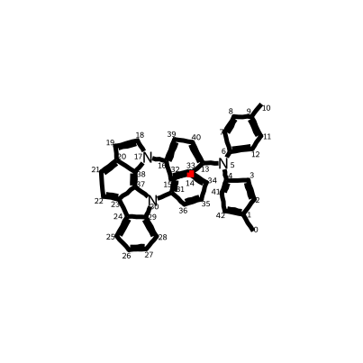 Cc1ccc(N(c2ccc(C)cc2)c2ccc(-n3ccc4ccc5c6ccccc6n(-c6ccccc6)c5c43)cc2)cc1